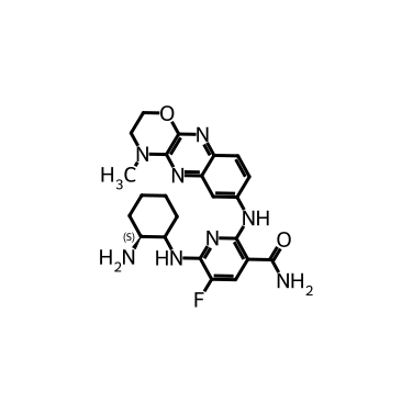 CN1CCOc2nc3ccc(Nc4nc(NC5CCCC[C@@H]5N)c(F)cc4C(N)=O)cc3nc21